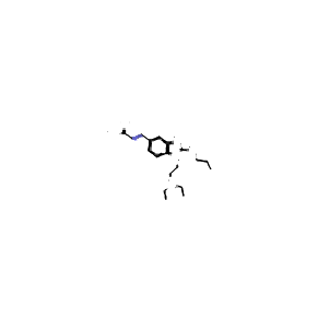 CCCNc1nc2cc(/C=C/C(=O)OC)ccc2n1CCN(CC)CC